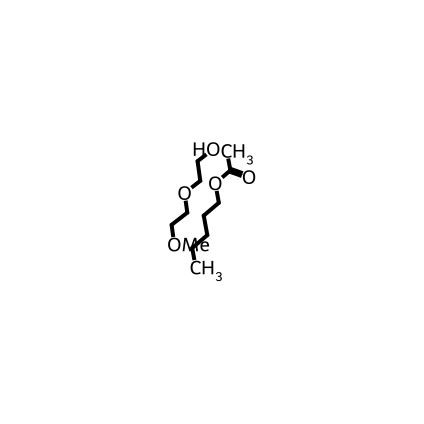 CCCCCOC(C)=O.COCCOCCO